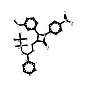 COc1cccc(C2C(CCC(O[Si](C)(C)C(C)(C)C)c3ccccc3)C(=O)N2c2ccc([N+](=O)[O-])cc2)c1